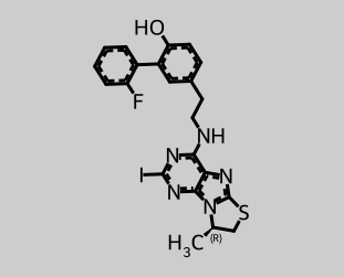 C[C@@H]1CSc2nc3c(NCCc4ccc(O)c(-c5ccccc5F)c4)nc(I)nc3n21